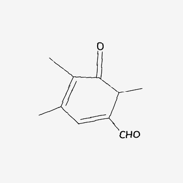 CC1=C(C)C(=O)C(C)C(C=O)=C1